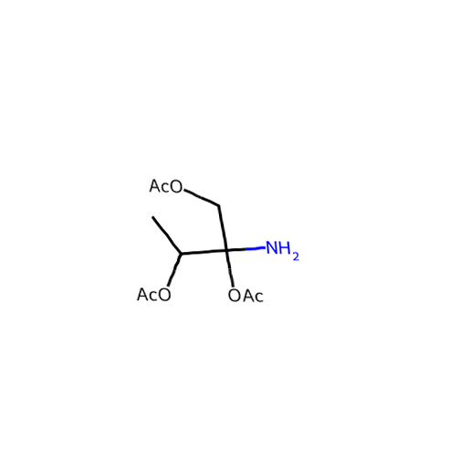 CC(=O)OCC(N)(OC(C)=O)C(C)OC(C)=O